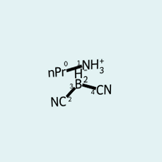 CCC[NH3+].N#C[BH2-]C#N